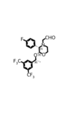 C[C@@H](O[C@H]1OCCN(CC=O)[C@H]1c1ccc(F)cc1)c1cc(C(F)(F)F)cc(C(F)(F)F)c1